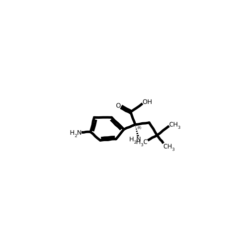 CC(C)(C)C[C@](N)(C(=O)O)c1ccc(N)cc1